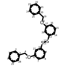 c1ccc(COc2cccc(SSc3cccc(OCc4ccccc4)c3)c2)cc1